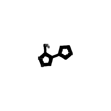 Cc1nocc1-c1ccsc1